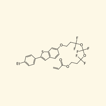 C=CC(=O)OCCC(F)(F)OC(F)(F)OC(F)(F)CCOc1ccc2cc(-c3ccc(CC)cc3)sc2c1